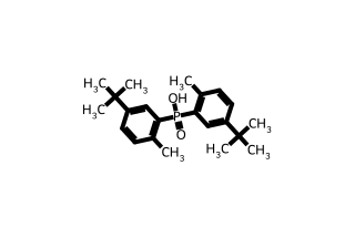 Cc1ccc(C(C)(C)C)cc1P(=O)(O)c1cc(C(C)(C)C)ccc1C